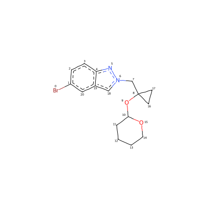 Brc1ccc2nn(CC3(OC4CCCCO4)CC3)cc2c1